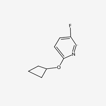 Fc1[c]nc(OC2CCC2)cc1